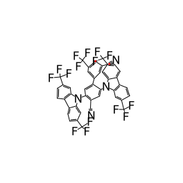 N#Cc1cc(-c2cc(-n3c4cc(C(F)(F)F)ccc4c4ccc(C(F)(F)F)cc43)c(C#N)cc2-n2c3cc(C(F)(F)F)ccc3c3ccc(C(F)(F)F)cc32)cc(C(F)(F)F)c1